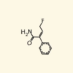 NC(=O)C(=CCF)c1ccccc1